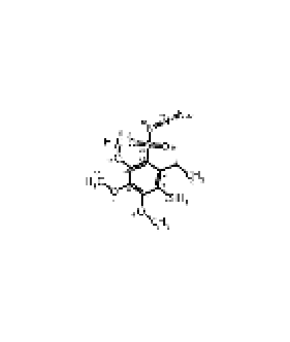 CCc1c([SiH3])c(OC)c(OC)c(OC)c1S(=O)(=O)N=[N+]=[N-]